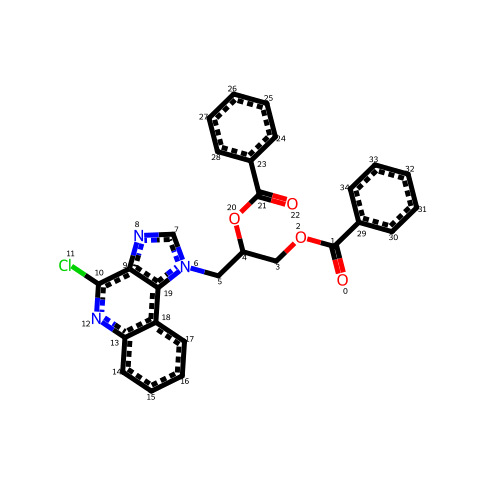 O=C(OCC(Cn1cnc2c(Cl)nc3ccccc3c21)OC(=O)c1ccccc1)c1ccccc1